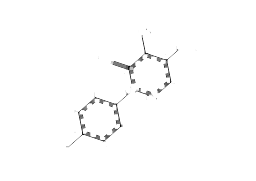 N#Cc1c(C(F)(F)F)cnn(-c2ccc(Cl)cc2)c1=O